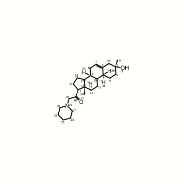 C[C@@]1(O)CC[C@H]2C(=CC[C@@H]3[C@@H]2CC[C@]2(C)[C@@H](C(=O)CN4CCCCC4)CC[C@@H]32)C1